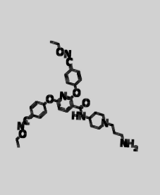 CCON=C=C1C=CC(Oc2ccc(C(=O)NC3CCN(CCCN)CC3)c(OC3C=CC(=C=NOCC)C=C3)n2)C=C1